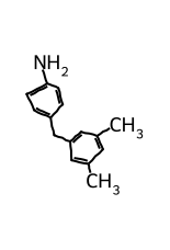 Cc1cc(C)cc(Cc2ccc(N)cc2)c1